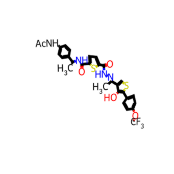 CC(=O)Nc1ccc(C(C)NC(=O)c2ccc(C(=O)N/N=C(\C)c3csc(-c4ccc(OC(F)(F)F)cc4)c3O)s2)cc1